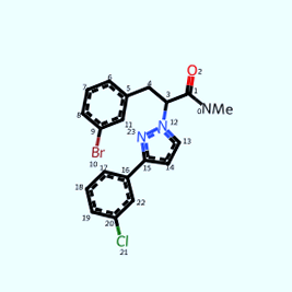 CNC(=O)C(Cc1cccc(Br)c1)n1ccc(-c2cccc(Cl)c2)n1